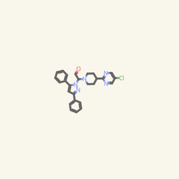 O=CC(N1CCC(c2ncc(Cl)cn2)CC1)n1nc(-c2ccccc2)cc1-c1ccccc1